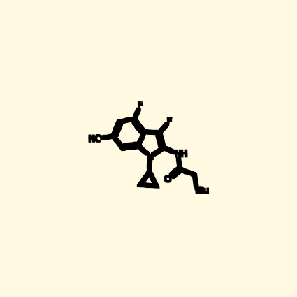 CC(C)(C)CC(=O)Nc1c(F)c2c(F)cc(C#N)cc2n1C1CC1